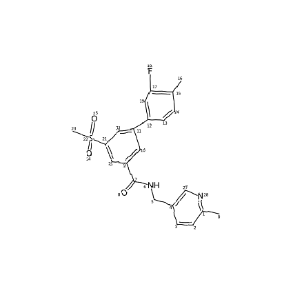 Cc1ccc(CNC(=O)c2cc(-c3ccc(C)c(F)c3)cc(S(C)(=O)=O)c2)cn1